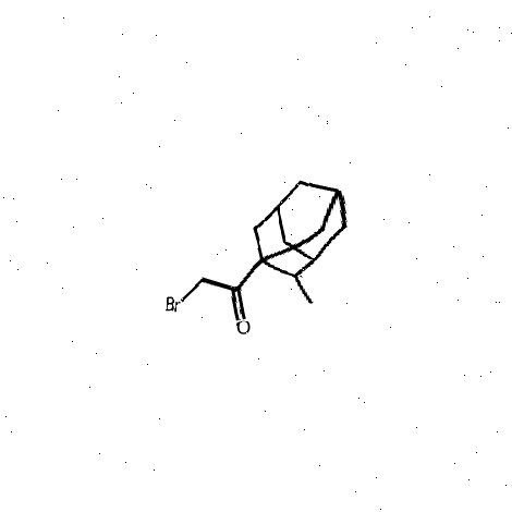 C[C]1C2CC3CC(C2)CC1(C(=O)CBr)C3